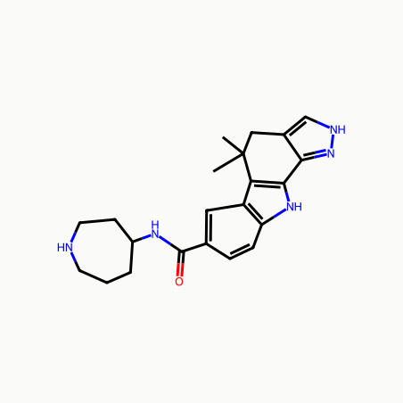 CC1(C)Cc2c[nH]nc2-c2[nH]c3ccc(C(=O)NC4CCCNCC4)cc3c21